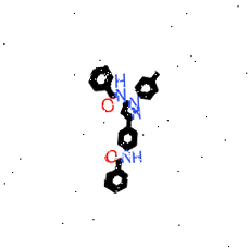 Cc1ccc(-n2nc(-c3ccc(NC(=O)c4ccccc4)cc3)cc2NC(=O)c2ccccc2)cc1